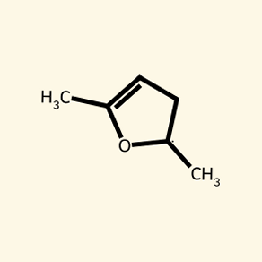 C[C]1CC=C(C)O1